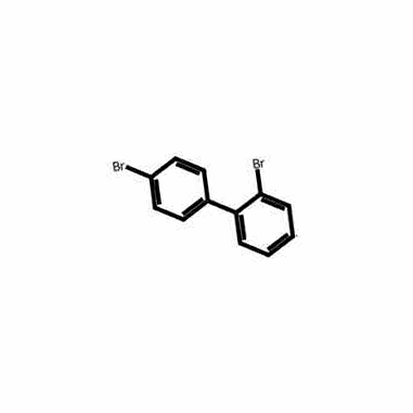 Brc1ccc(-c2cc[c]cc2Br)cc1